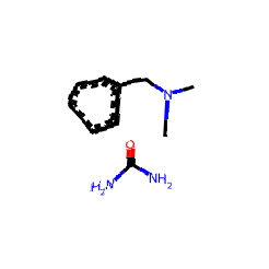 CN(C)Cc1ccccc1.NC(N)=O